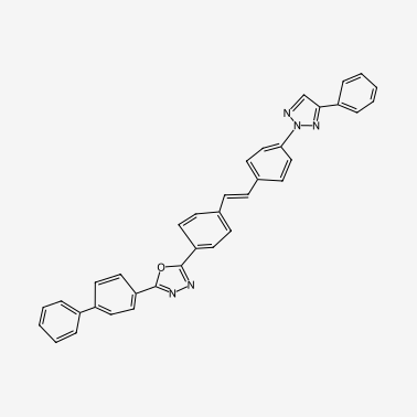 C(=Cc1ccc(-n2ncc(-c3ccccc3)n2)cc1)c1ccc(-c2nnc(-c3ccc(-c4ccccc4)cc3)o2)cc1